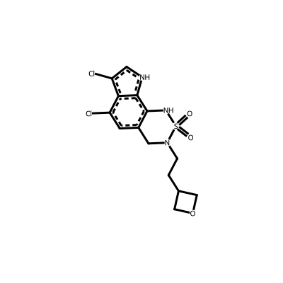 O=S1(=O)Nc2c(cc(Cl)c3c(Cl)c[nH]c23)CN1CCC1COC1